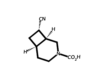 N#C[C@H]1C[C@@H]2CCN(C(=O)O)C[C@@H]21